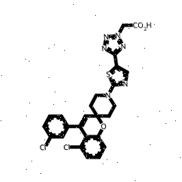 O=C(O)Cn1nnc(-c2cnc(N3CCC4(C=C(c5cccc(Cl)c5)c5c(Cl)cccc5O4)CC3)s2)n1